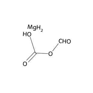 O=COC(=O)O.[MgH2]